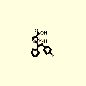 O=C(O)c1cnc2c(-c3ccccc3)c(-c3ccc(F)cc3)[nH]n12